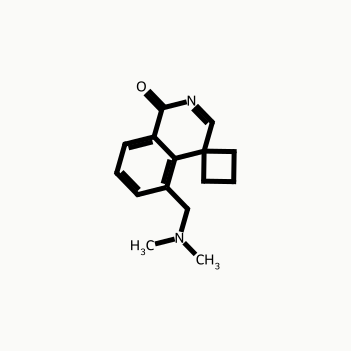 CN(C)Cc1cccc2c1C1(C=NC2=O)CCC1